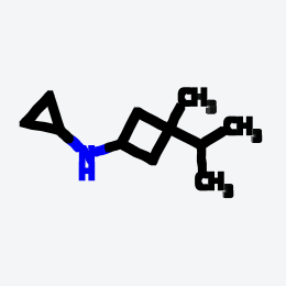 CC(C)C1(C)CC(NC2CC2)C1